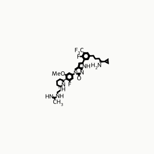 COc1cc(-n2cc3cc(-c4cc(CCC[C@@H](N)C5CC5)cc(C(F)(F)F)c4F)[nH]c3nc2=O)cc(F)c1[C@@H]1CCC[C@@H](CCNC(C)=N)N1